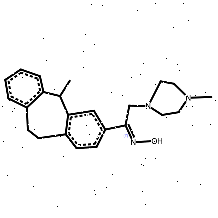 CC1c2ccccc2CCc2ccc(/C(CN3CCN(C)CC3)=N/O)cc21